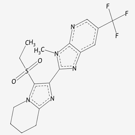 CCS(=O)(=O)c1c(-c2nc3cc(C(F)(F)F)cnc3n2C)nc2n1CCCC2